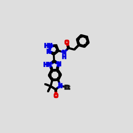 CCN1C(=O)C(C)(C)c2cc3[nH]c(-c4n[nH]cc4NC(=O)Cc4ccccc4)nc3cc21